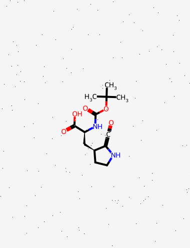 CC(C)(C)OC(=O)N[C@@H](C[C@@H]1CCNC1=C=O)C(=O)O